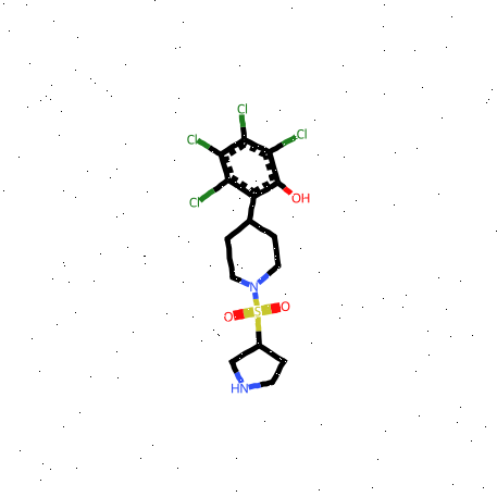 O=S(=O)(C1CCNC1)N1CCC(c2c(O)c(Cl)c(Cl)c(Cl)c2Cl)CC1